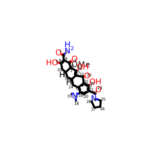 CO[C@@]12C(=O)C(C(N)=O)=C(O)C[C@@H]1C[C@@H]1Cc3c(N(C)C)cc(C(=O)N4CCCC4)c(O)c3C(=O)C1=C2O